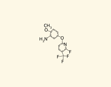 COc1ccc(Oc2ccc(C(F)(F)F)c(F)n2)cc1N